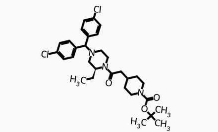 CC[C@H]1CN(C(c2ccc(Cl)cc2)c2ccc(Cl)cc2)CCN1C(=O)CC1CCN(C(=O)OC(C)(C)C)CC1